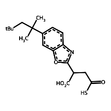 CC(C)(C)CC(C)(C)c1ccc2nc(C(CC(=O)S)C(=O)O)oc2c1